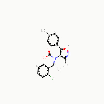 Cc1ccc(-c2onc(C)c2N(C(=O)O)[C@H](C)c2ccccc2Br)cc1